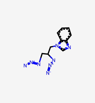 [N-]=[N+]=NCC(Cn1cnc2ccccc21)N=[N+]=[N-]